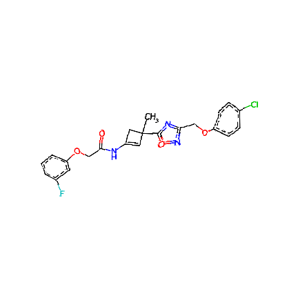 CC1(c2nc(COc3ccc(Cl)cc3)no2)C=C(NC(=O)COc2cccc(F)c2)C1